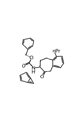 CCCc1cccc2c1CCC(NC(=O)OCc1ccccc1)C(=O)C2.c1cc2cc-2c1